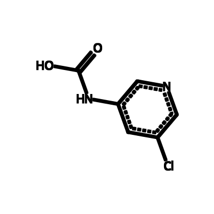 O=C(O)Nc1cncc(Cl)c1